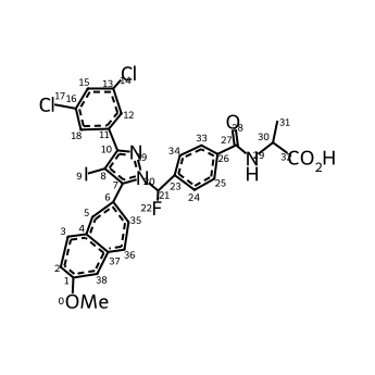 COc1ccc2cc(-c3c(I)c(-c4cc(Cl)cc(Cl)c4)nn3C(F)c3ccc(C(=O)NC(C)C(=O)O)cc3)ccc2c1